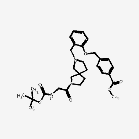 COC(=O)c1ccc(COc2ccccc2CN2CCC3(CCN(C(=O)CNC(=O)OC(C)(C)C)C3)C2)cc1